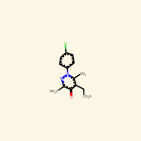 Cc1c(CC(=O)O)c(=O)c(C(=O)O)nn1-c1ccc(Cl)cc1